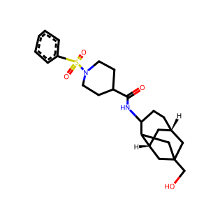 O=C(NC1CC[C@H]2C[C@@H]3CC(CO)(CC13)C2)C1CCN(S(=O)(=O)c2ccccc2)CC1